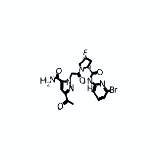 CC(=O)c1cc(C(N)=O)n(CC(=O)N2C[C@H](F)C[C@H]2C(=O)Nc2cccc(Br)n2)n1